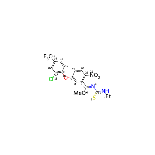 CCNC(=S)N=C(OC)c1cc(Oc2ccc(C(F)(F)F)cc2Cl)ccc1[N+](=O)[O-]